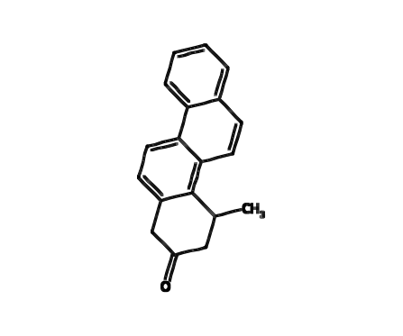 CC1CC(=O)Cc2ccc3c(ccc4ccccc43)c21